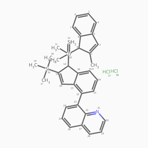 CC1=Cc2ccccc2[CH]1[Zr]([CH3])([CH3])(=[SiH2])[CH]1C([Si](C)(C)C)=Cc2c(-c3cccc4cccnc34)cccc21.Cl.Cl